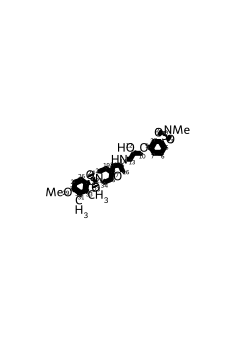 CNS(=O)(=O)c1cccc(OCC(O)CNC2COC3(CCN(S(=O)(=O)c4ccc(OC)c(C)c4C)CC3)C2)c1